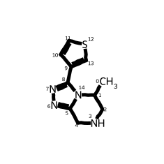 CC1CNCc2nnc(-c3ccsc3)n21